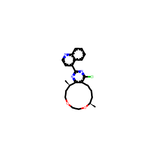 C[C@@H]1CCCc2c(Cl)nc(-c3ccnc4ccccc34)nc2[C@H](C)CCOCCO1